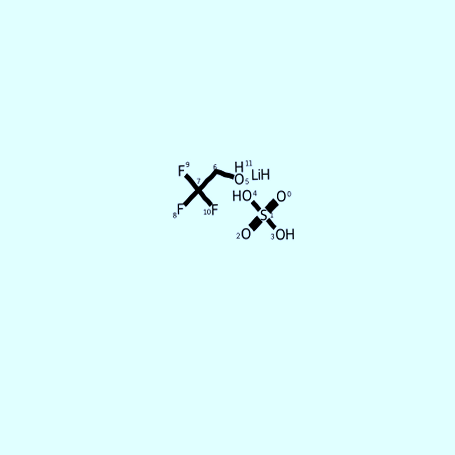 O=S(=O)(O)O.OCC(F)(F)F.[LiH]